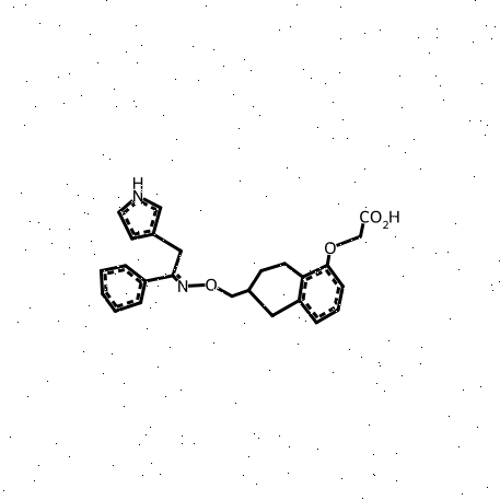 O=C(O)COc1cccc2c1CCC(CO/N=C(\Cc1cc[nH]c1)c1ccccc1)C2